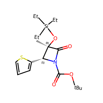 CC[Si](CC)(CC)O[C@@]1(C)C(=O)N(C(=O)OC(C)(C)C)[C@@H]1c1cccs1